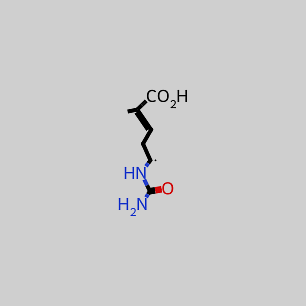 CC(=CC[CH]NC(N)=O)C(=O)O